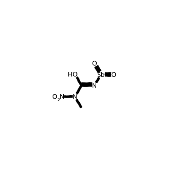 CN(C(O)=[N][Sb](=[O])=[O])[N+](=O)[O-]